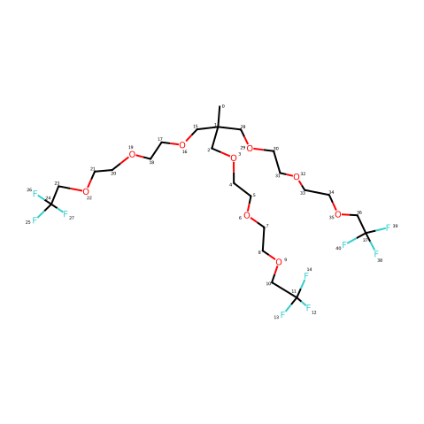 CC(COCCOCCOCC(F)(F)F)(COCCOCCOCC(F)(F)F)COCCOCCOCC(F)(F)F